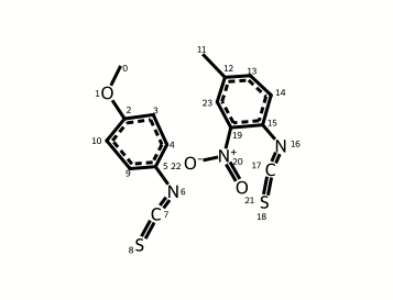 COc1ccc(N=C=S)cc1.Cc1ccc(N=C=S)c([N+](=O)[O-])c1